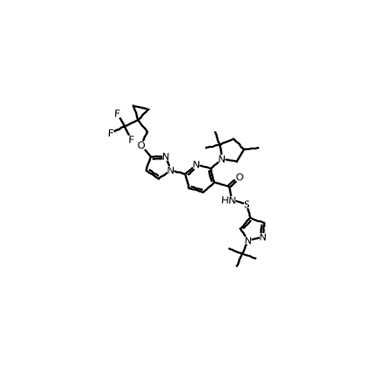 CC1CN(c2nc(-n3ccc(OCC4(C(F)(F)F)CC4)n3)ccc2C(=O)NSc2cnn(C(C)(C)C)c2)C(C)(C)C1